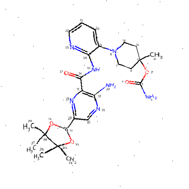 CC1(OC(N)=O)CCN(c2cccnc2NC(=O)c2nc(B3OC(C)(C)C(C)(C)O3)cnc2N)CC1